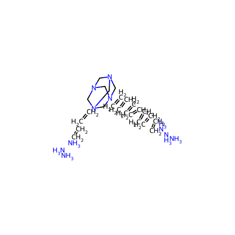 C1N2CN3CN1CN(C2)C3.C=C.C=C.C=C.C=C.C=C.C=C.C=C.C=C.C=C.N.N.N.N.N.N